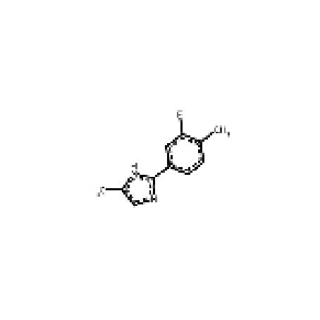 Cc1[c]nc(-c2ccc(C)c(F)c2)[nH]1